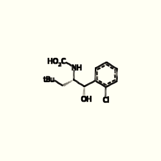 CC(C)(C)C[C@H](NC(=O)O)[C@@H](O)c1ccccc1Cl